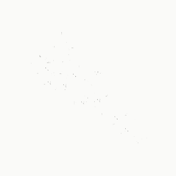 COc1cc(N2CCC(N3CCN(C4CC4)CC3)CC2)c(N)cc1Nc1cc(N2OCC[C@@H]2c2cc(F)cc(F)c2)ncn1